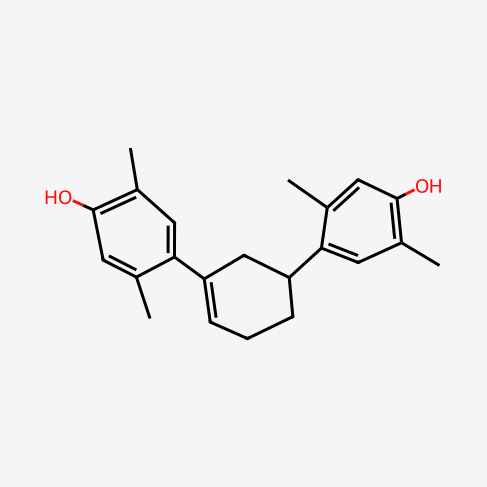 Cc1cc(C2=CCCC(c3cc(C)c(O)cc3C)C2)c(C)cc1O